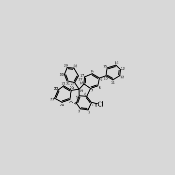 Clc1cccc2c1-c1cc(-c3ccccc3)ccc1C2(c1ccccc1)c1ccccc1